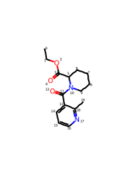 CCOC(=O)C1CCCCN1C(=O)c1cccnc1C